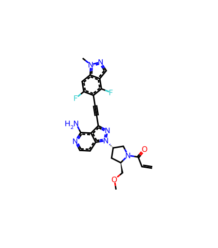 C=CC(=O)N1C[C@@H](n2nc(C#Cc3c(F)cc4c(cnn4C)c3F)c3c(N)nccc32)C[C@@H]1COC